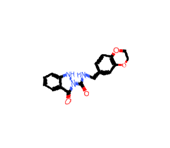 O=C(NCc1ccc2c(c1)OCCO2)n1[nH]c2ccccc2c1=O